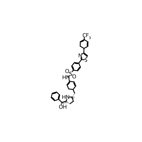 O=S(=O)(NC1=CCC(C[C@@H]2CC[C@H]([C@H](O)c3ccccc3)N2)C=C1)c1ccc(-c2nc(C3C=CC(C(F)(F)F)=CC3)cs2)cc1